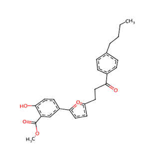 CCCCc1ccc(C(=O)CCc2ccc(-c3ccc(O)c(C(=O)OC)c3)o2)cc1